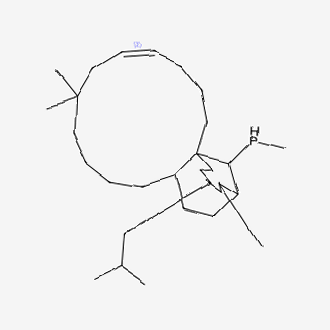 CPC1C2CCC3CCCCC(C)(C)C/C=C\CCCC31CCC(CC(C)C)CCC2C